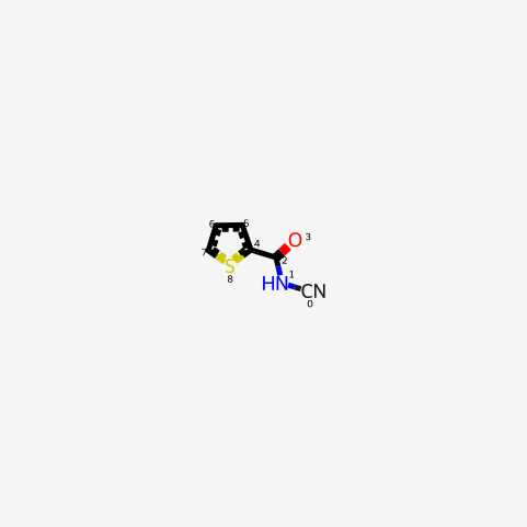 N#CNC(=O)c1cccs1